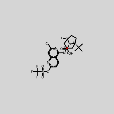 CC(C)(C)[C@@]12CC[C@@H](C[C@H](Nc3nc(Cl)cc4nc(OS(=O)(=O)C(F)(F)F)ccc34)C1)N2C(=O)O